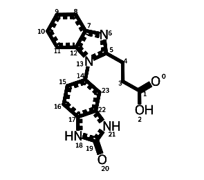 O=C(O)CCc1nc2ccccc2n1-c1ccc2[nH]c(=O)[nH]c2c1